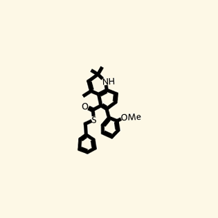 COc1ccccc1-c1ccc2c(c1C(=O)SCc1ccccc1)C(C)=CC(C)(C)N2